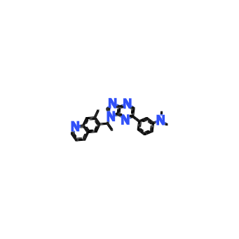 Cc1cc2ncccc2cc1C(C)n1cnc2ncc(-c3cccc(N(C)C)c3)nc21